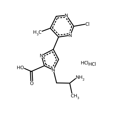 Cc1cnc(Cl)nc1-c1cn(CC(C)N)c(C(=O)O)n1.Cl.Cl